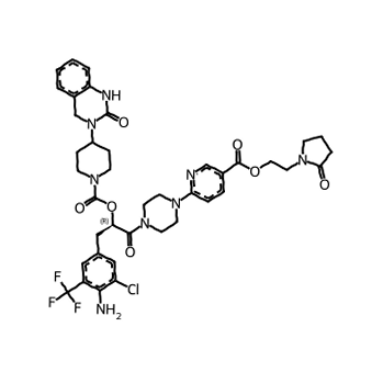 Nc1c(Cl)cc(C[C@@H](OC(=O)N2CCC(N3Cc4ccccc4NC3=O)CC2)C(=O)N2CCN(c3ccc(C(=O)OCCN4CCCC4=O)cn3)CC2)cc1C(F)(F)F